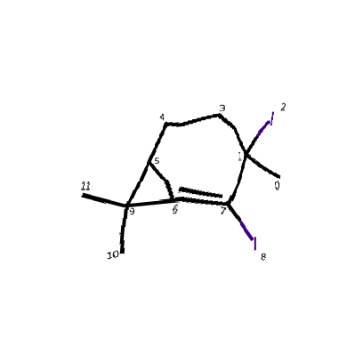 CC1(I)CCC2C(=C1I)C2(C)C